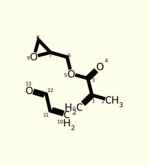 C=C(C)C(=O)OCC1CO1.C=CC=O